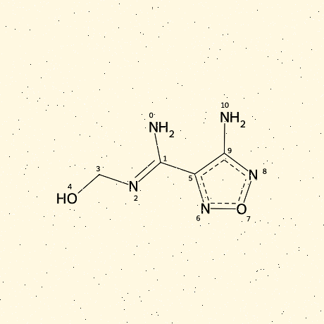 N/C(=N\CO)c1nonc1N